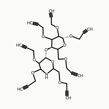 C#CCOCC1NC(OCC#C)C(OCC#C)[C@H](O[C@@H]2C(COCC#C)O[C@@H](OCC#C)C(OCC#C)C2OCC#C)O1